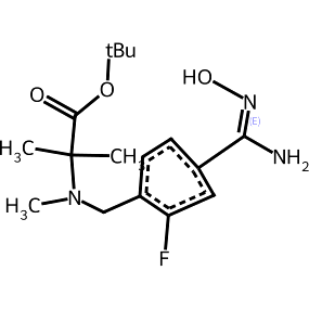 CN(Cc1ccc(/C(N)=N\O)cc1F)C(C)(C)C(=O)OC(C)(C)C